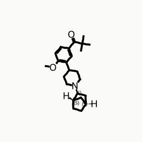 COc1ccc(C(=O)C(C)(C)C)cc1C1CCN([C@H]2C[C@H]3CC[C@H]2C3)CC1